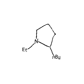 CCCCC1CCCN1CC